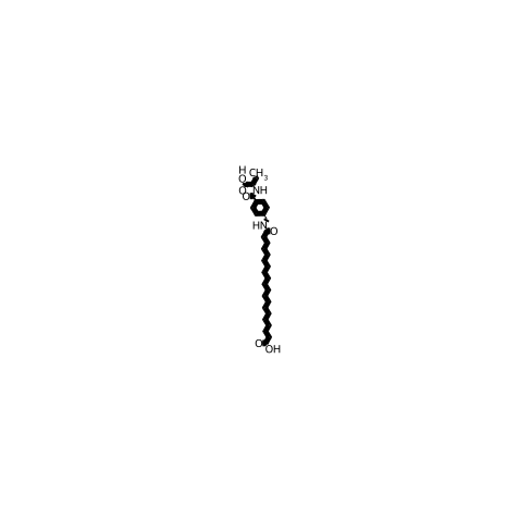 CCC(NC(=O)[C@H]1CC[C@H](CNC(=O)CCCCCCCCCCCCCCCCCCC(=O)O)CC1)C(=O)O